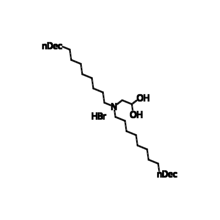 Br.CCCCCCCCCCCCCCCCCCN(CCCCCCCCCCCCCCCCCC)CC(O)O